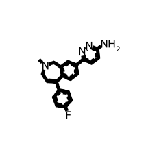 CN1CC=C(c2ccc(F)cc2)c2ccc(-c3ccc(N)nn3)cc2C1